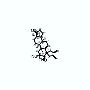 C=CCC1(CC=C)C(=O)C(C#N)(C#N)C[C@@]2(C)C1=CC[C@@H]1[C@@H]2CC[C@]2(C)C(=O)CC[C@@H]12